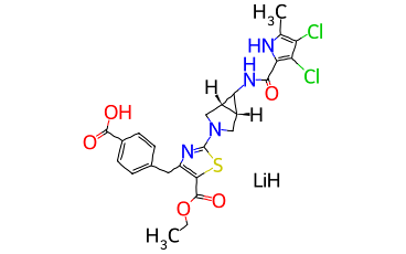 CCOC(=O)c1sc(N2C[C@@H]3C(NC(=O)c4[nH]c(C)c(Cl)c4Cl)[C@@H]3C2)nc1Cc1ccc(C(=O)O)cc1.[LiH]